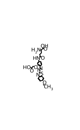 CCOc1ccc2nc(N=Nc3ccc(NC(=O)CCC(N)C(=O)O)cc3OCC(=O)O)sc2c1